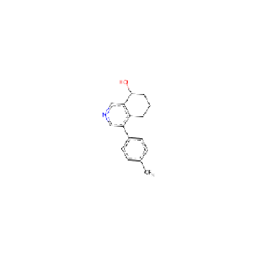 OC1CCCc2c(-c3ccc(C(F)(F)F)cc3)cncc21